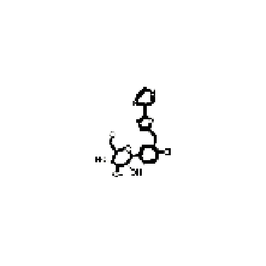 OCC1OC(c2ccc(Cl)c(Cc3ccc(-c4cnccn4)s3)c2)[C@H](O)C(O)[C@@H]1O